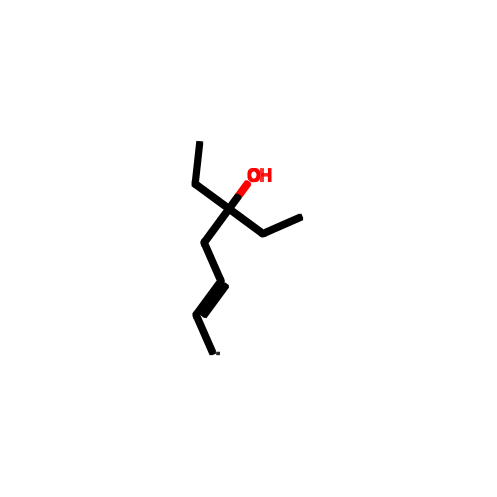 [CH2]C=CCC(O)(CC)CC